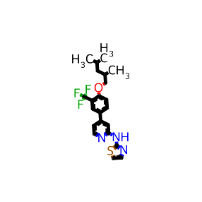 CC(C)CC(C)COc1ccc(-c2ccnc(Nc3nccs3)c2)cc1C(F)(F)F